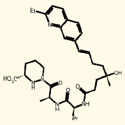 CCc1ccc2ccc(/C=C/CC[C@](C)(O)CCC(=O)N[C@H](C(=O)N[C@@H](C)C(=O)N3CCC[C@@H](C(=O)O)N3)C(C)C)cc2n1